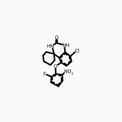 O=C1Nc2c(Cl)ccc(Oc3c(F)cccc3[N+](=O)[O-])c2C2(CCCCC2)N1